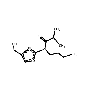 CCCCN(C(=O)C(C)C)c1nc(CO)co1